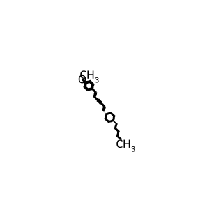 CCCCCC[C@H]1CC[C@H](C=CC#CC=Cc2ccc(OC)cc2)CC1